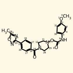 COc1ccc(NC(=O)ON2CCN(C(=O)c3ccc(-c4noc(C)n4)cc3)CC2)cc1